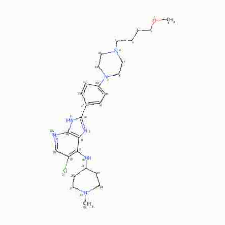 COCCCCN1CCN(c2ccc(-c3nc4c(NC5CCN(C)CC5)c(Cl)cnc4[nH]3)cc2)CC1